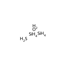 O.S.[SiH4].[SiH4]